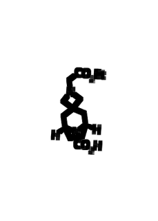 CCOC(=O)CN1CC2(C[C@H]3CC[C@@H](C2)N3C(=O)O)C1